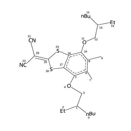 CCCCC(CC)COc1c(C)c(C)c(OCC(CC)CCCC)c2c1SC(=C(C#N)C#N)S2